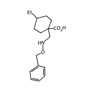 CCC1CCC(CNOCc2ccccc2)(C(=O)O)CC1